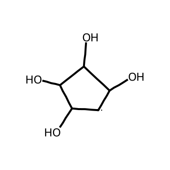 OC1[CH]C(O)C(O)C1O